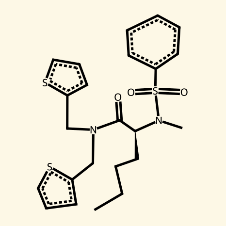 CCCC[C@@H](C(=O)N(Cc1cccs1)Cc1cccs1)N(C)S(=O)(=O)c1ccccc1